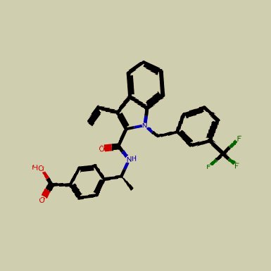 C=Cc1c(C(=O)N[C@@H](C)c2ccc(C(=O)O)cc2)n(Cc2cccc(C(F)(F)F)c2)c2ccccc12